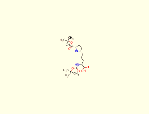 CC(C)(C)OC(=O)NC(CCC[C@H]1CC[C@@H](C(=O)OC(C)(C)C)N1)C(=O)O